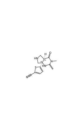 C=C1N[C@@]2(c3ccc(C#N)s3)CNC[C@H]2C(=O)N1C